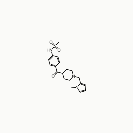 Cn1cccc1CN1CCC(C(=O)c2ccc(NS(C)(=O)=O)cc2)CC1